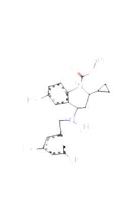 CC(C)OC(=O)N1c2ccc(C(F)(F)F)cc2C(N(C=O)Cc2cc(C(F)(F)F)cc(C(F)(F)F)c2)CC1C1CC1